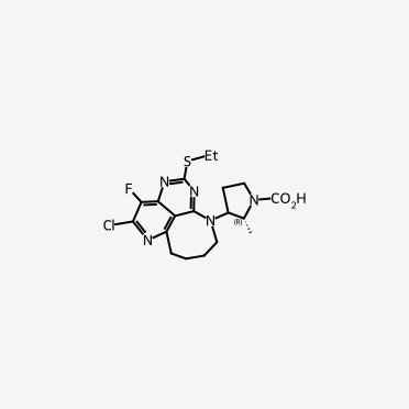 CCSc1nc2c3c(nc(Cl)c(F)c3n1)CCCCN2C1CCN(C(=O)O)[C@@H]1C